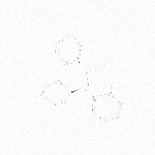 Cc1ccc([C@@H]2c3ccc(O)cc3OC[C@@H]2c2ccc(O)cc2)cc1